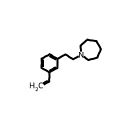 C=Cc1cccc(CCN2CCCCCC2)c1